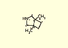 CC12CCC1(C)CNC2